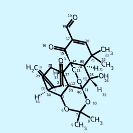 C=C1C(=O)[C@@]23C4OC(C)(C)O[C@]25OC[C@]2(C(=O)C(C=O)=CC(C)(C)[C@H]2[C@@H]5O)[C@@H]3CC[C@@H]14